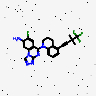 CC(C)(C#Cc1cccc2c1CCCN2c1nc2nncn2c2cc(N)c(F)cc12)C(F)(F)F